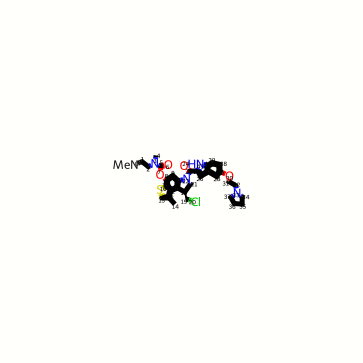 CNCCN(C)C(=O)Oc1cc2c(c3c(C)csc13)[C@H](CCl)CN2C(=O)c1cc2cc(OCCN3CCCC3)ccc2[nH]1